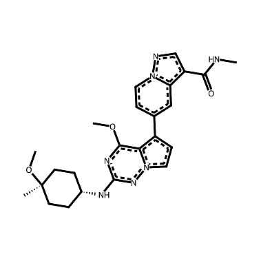 CNC(=O)c1cnn2ccc(-c3ccn4nc(N[C@H]5CC[C@](C)(OC)CC5)nc(OC)c34)cc12